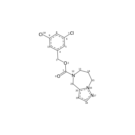 O=C(OCc1cc(Cl)cc(Cl)c1)N1CCCn2nccc2C1